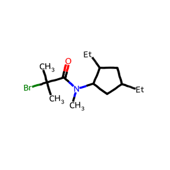 CCC1CC(CC)C(N(C)C(=O)C(C)(C)Br)C1